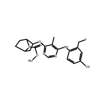 Cc1c(Nc2ccc(C#N)cc2CF)ncnc1OC1CC2CCC1N2C(=O)OC(C)(C)C